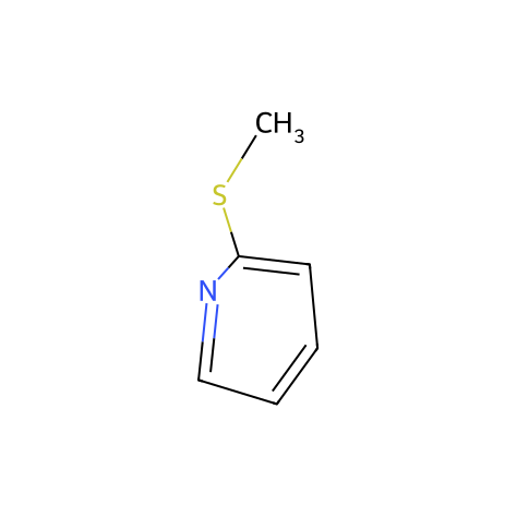 CSc1ccccn1